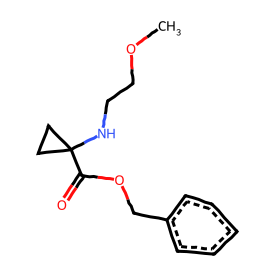 COCCNC1(C(=O)OCc2ccccc2)CC1